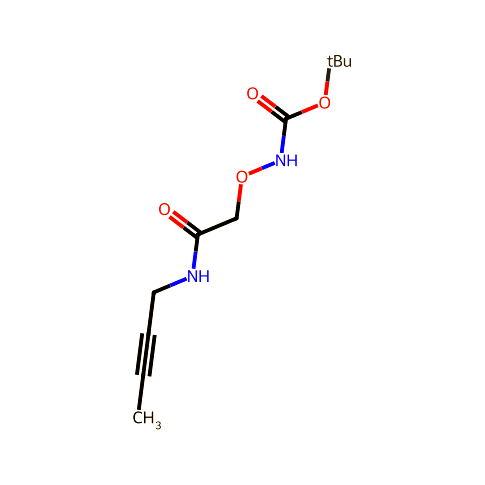 CC#CCNC(=O)CONC(=O)OC(C)(C)C